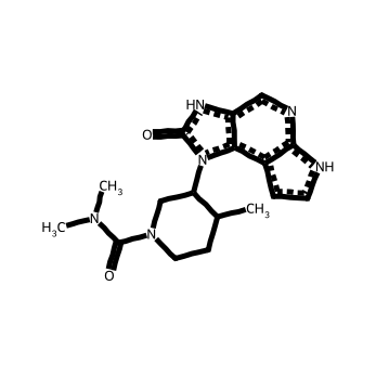 CC1CCN(C(=O)N(C)C)CC1n1c(=O)[nH]c2cnc3[nH]ccc3c21